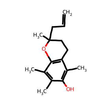 C=CCC1(C)CCc2c(C)c(O)c(C)c(C)c2O1